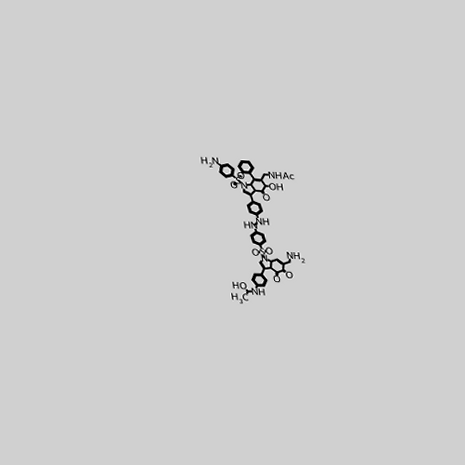 CC(=O)NCC1=C(c2ccccc2)C2C(C(=O)C1O)C(c1ccc(NNc3ccc(S(=O)(=O)N4C=C(c5ccc(NC(C)O)cc5)C5C(=O)C(=O)C(CN)=CC54)cc3)cc1)=CN2S(=O)(=O)c1ccc(N)cc1